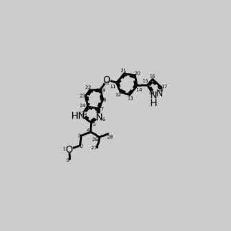 COCCC(c1nc2cc(Oc3ccc(-c4ccn[nH]4)cc3)ccc2[nH]1)C(C)C